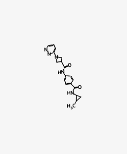 CC1CC1NC(=O)c1ccc(NC(=O)C2CN(c3cccnn3)C2)cc1